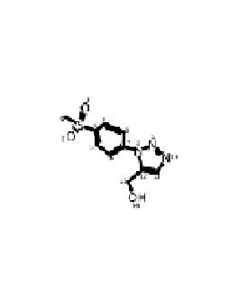 CS(=O)(=O)c1ccc(-n2nncc2CO)cc1